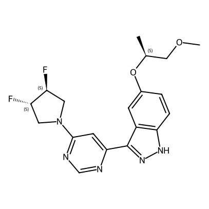 COC[C@H](C)Oc1ccc2[nH]nc(-c3cc(N4C[C@H](F)[C@@H](F)C4)ncn3)c2c1